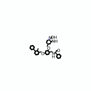 Cc1c(COc2ccc(CNC(C=O)c3ccccc3)c(OCC3=CC(=N)/C(=N\O)C=C3)c2)cccc1-c1ccccc1